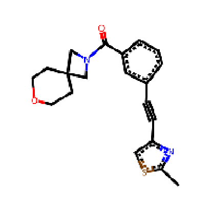 Cc1nc(C#Cc2cccc(C(=O)N3CC4(CCOCC4)C3)c2)cs1